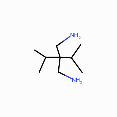 CC(C)C(CN)(CN)C(C)C